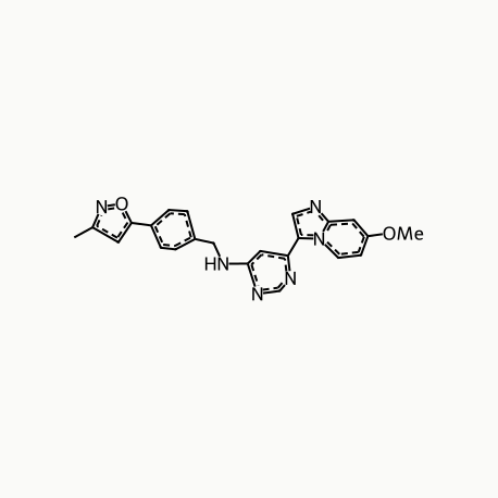 COc1ccn2c(-c3cc(NCc4ccc(-c5cc(C)no5)cc4)ncn3)cnc2c1